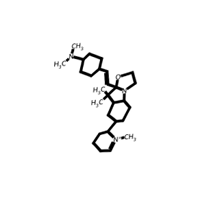 CN(C)C1CCC(C=CC23OCCN2C2CCC(C4CCCC=[N+]4C)CC2C3(C)C)CC1